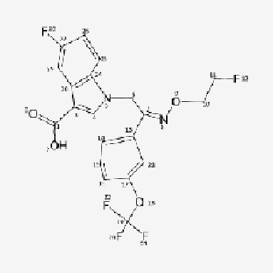 O=C(O)c1cn(C/C(=N\OCCF)c2cccc(OC(F)(F)F)c2)c2ccc(F)cc12